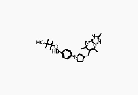 Cc1nc2nc(C)c(C[C@@H]3CCN(c4ccc(BOC(C)(C)C(C)(C)O)cc4)C3)c(C)n2n1